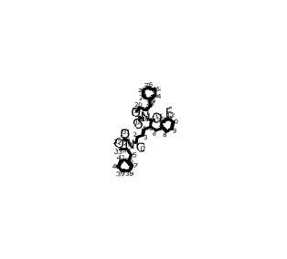 O=C(CC=CC(Cc1cccc(F)c1)C(=O)N1C(=O)OCC1Cc1ccccc1)N1C(=O)OCC1Cc1ccccc1